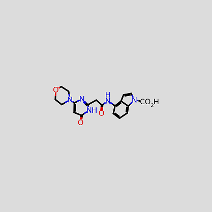 O=C(Cc1nc(N2CCOCC2)cc(=O)[nH]1)Nc1cccc2c1ccn2C(=O)O